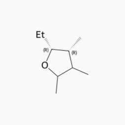 CC[C@H]1OC(C)C(C)[C@H]1C